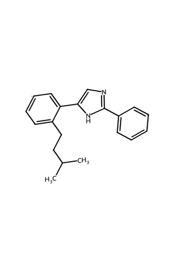 CC(C)CCc1cc[c]cc1-c1cnc(-c2ccccc2)[nH]1